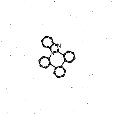 c1ccc2c(c1)-c1ccccc1-c1nc3ccccc3n1-c1ccccc1-2